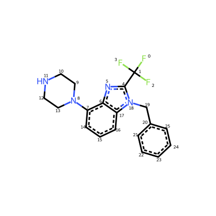 FC(F)(F)c1nc2c(N3CCNCC3)cccc2n1Cc1ccccc1